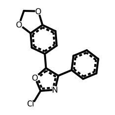 Clc1nc(-c2ccccc2)c(-c2ccc3c(c2)OCO3)o1